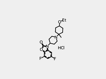 CCOC1CCC(C)(N2CCC(n3c(=O)oc4c(F)cc(F)cc43)CC2)CC1.Cl